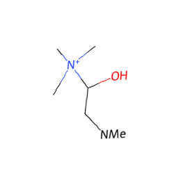 CNCC(O)[N+](C)(C)C